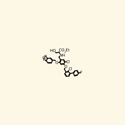 CCOC(=O)[C@@H](CO)NCc1cc(Cl)c(OCc2cccc(-c3ccc(F)cc3)c2Cl)cc1OCc1ccc2nonc2c1